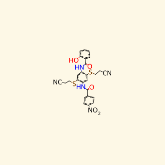 N#CCCSc1cc(NC(=O)c2ccccc2O)c(SCCC#N)cc1NC(=O)c1ccc([N+](=O)[O-])cc1